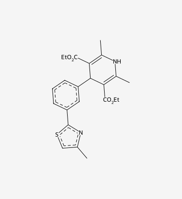 CCOC(=O)C1=C(C)NC(C)=C(C(=O)OCC)C1c1cccc(-c2nc(C)cs2)c1